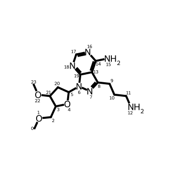 COCC1OC(n2nc(CCCN)c3c(N)ncnc32)CC1OC